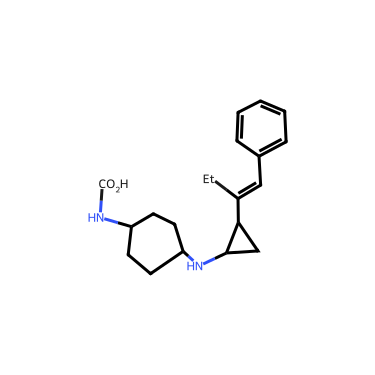 CC/C(=C\c1ccccc1)C1CC1NC1CCC(NC(=O)O)CC1